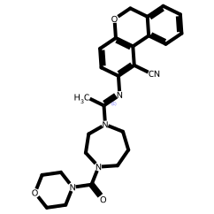 C/C(=N\c1ccc2c(c1C#N)-c1ccccc1CO2)N1CCCN(C(=O)N2CCOCC2)CC1